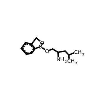 CC(C)CC(N)COB1OCc2ccccc21